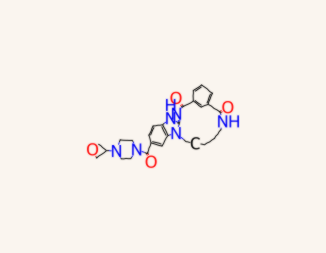 O=C1/N=C2\Nc3ccc(C(=O)N4CCN(C5COC5)CC4)cc3N2CCCCCNC(=O)c2cccc1c2